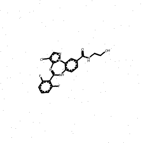 O=C(NCCO)c1ccc2c(c1)-n1ncc(Cl)c1N=C(c1c(F)cccc1F)N2